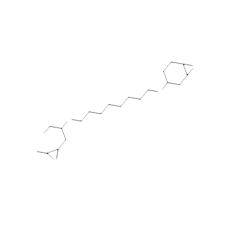 CCC(CC1OC1C)OCCCCCCCCOC1CCC2OC2C1